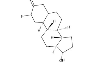 C[C@]12CC[C@H]3[C@@H](CCC4CC(=O)C(F)C[C@@H]43)[C@@H]1CC[C@@H]2O